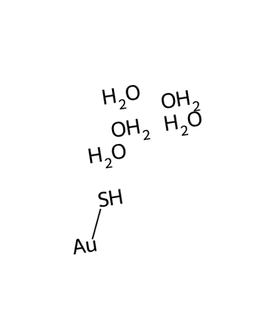 O.O.O.O.O.[SH][Au]